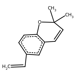 C=Cc1ccc2c(c1)C=CC(C)(C)O2